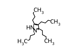 CCCCc1[nH][n+](CCCC)c(CCCC)c1CCCC